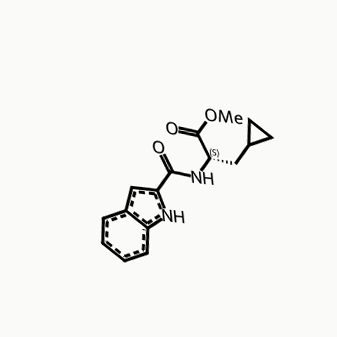 COC(=O)[C@H](CC1CC1)NC(=O)c1cc2ccccc2[nH]1